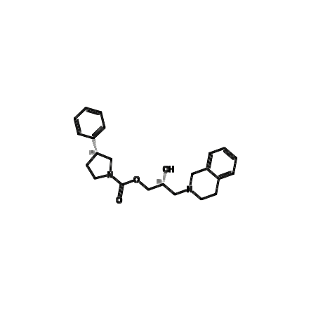 O=C(OC[C@H](O)CN1CCc2ccccc2C1)N1CC[C@H](c2ccccc2)C1